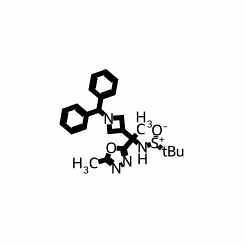 Cc1nnc(C(C)(N[S+]([O-])C(C)(C)C)C2CN(C(c3ccccc3)c3ccccc3)C2)o1